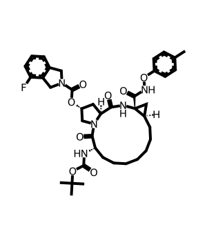 Cc1ccc(ONC(=O)[C@@]23C[C@H]2CCCCCCC[C@H](NC(=O)OC(C)(C)C)C(=O)N2C[C@H](OC(=O)N4Cc5cccc(F)c5C4)C[C@H]2C(=O)N3)cc1